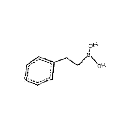 OB(O)CCc1ccncc1